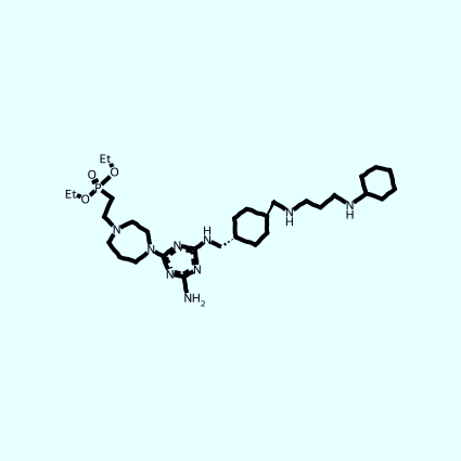 CCOP(=O)(CCN1CCCN(c2nc(N)nc(NC[C@H]3CC[C@H](CNCCCNC4CCCCC4)CC3)n2)CC1)OCC